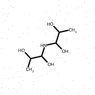 CC(O)C(O)NC(O)C(C)O